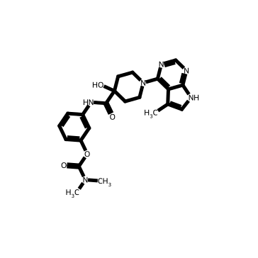 Cc1c[nH]c2ncnc(N3CCC(O)(C(=O)Nc4cccc(OC(=O)N(C)C)c4)CC3)c12